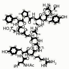 CC(=O)N[C@@H](CC(C)C)C(=O)N[C@@H](Cc1ccc(O)cc1)C(=O)N[C@@H](CCCNC(=N)N)C(=O)N[C@@H](C)C(=O)N[C@@H](CC(N)=O)C(=O)NCC(=O)N[C@@H](CC(=O)O)C(=O)N[C@@H](Cc1ccccc1)C(=O)N1CCC[C@H]1C(=O)N[C@@H](CS)C(=O)N[C@@H](Cc1ccc(O)cc1)C(=O)N[C@@H](CO)C(N)=O